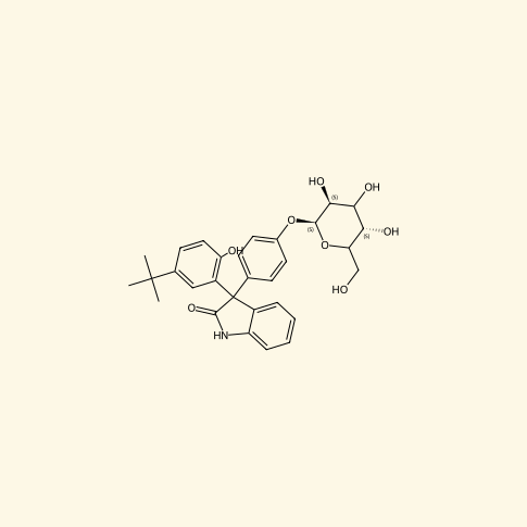 CC(C)(C)c1ccc(O)c(C2(c3ccc(O[C@@H]4OC(CO)[C@@H](O)C(O)[C@@H]4O)cc3)C(=O)Nc3ccccc32)c1